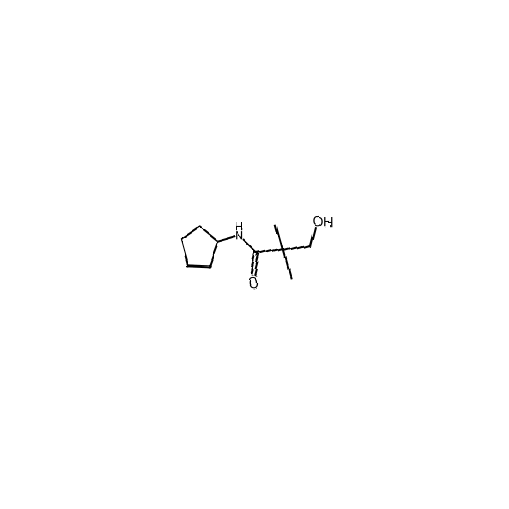 CC(C)(CO)C(=O)NC1CCCC1